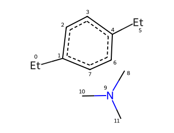 CCc1ccc(CC)cc1.CN(C)C